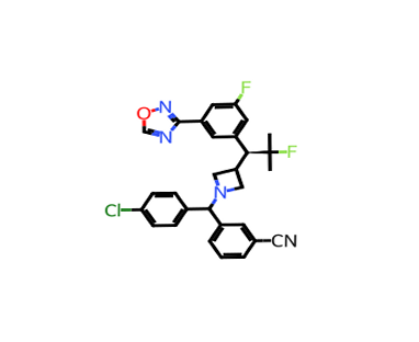 CC(C)(F)[C@H](c1cc(F)cc(-c2ncon2)c1)C1CN(C(c2ccc(Cl)cc2)c2cccc(C#N)c2)C1